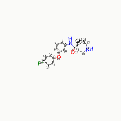 CC1(C(=O)Nc2cccc(Oc3ccc(F)cc3)c2)CCNCC1